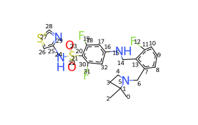 CC1(C)CCN1Cc1cccc(F)c1CNc1cc(F)c(S(=O)(=O)Nc2cscn2)c(F)c1